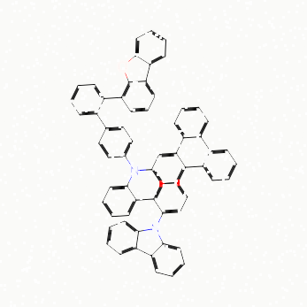 c1ccc(-c2cccc3c2oc2ccccc23)c(-c2ccc(N(c3ccc4c5ccccc5c5ccccc5c4c3)c3ccccc3-c3ccccc3-n3c4ccccc4c4ccccc43)cc2)c1